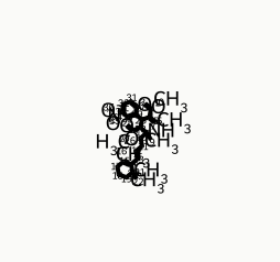 COC(=O)C1=C(C)NC(C)(CCC=CC2=C(C)CCCC2(C)C)C(C(=O)OC)C1c1cccc([N+](=O)[O-])c1